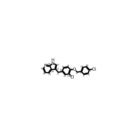 Clc1ccc(COc2ccc(Cc3c[nH]c4ncccc34)cc2Cl)cc1